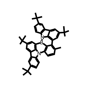 Cc1ccc2c3c1-c1cc(C(C)(C)C)cc4c5cc(C(C)(C)C)ccc5n(c14)B3c1cc(C(C)(C)C)cc3c4cc(C(C)(C)C)ccc4n-2c13